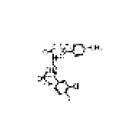 CC(=O)N(CCC(c1ccc(Cl)c(Cl)c1)P(C)(C)=O)OC(C)c1ccc(C)cc1